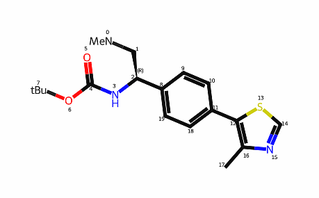 CNC[C@H](NC(=O)OC(C)(C)C)c1ccc(-c2scnc2C)cc1